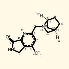 O=C1NCc2c(C(F)(F)F)cc(CN3C[C@@H]4CC[C@H]3C4)nc21